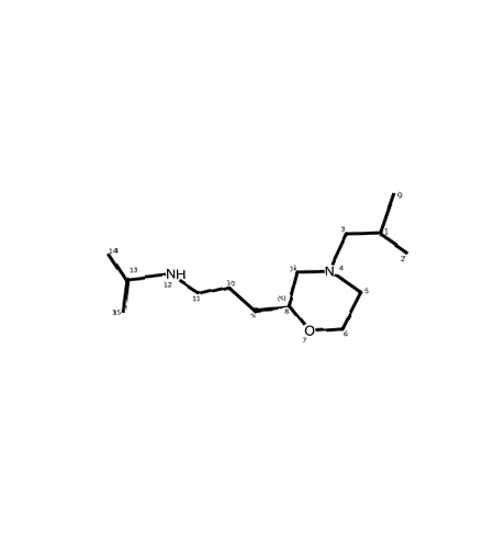 CC(C)CN1CCO[C@@H](CCCNC(C)C)C1